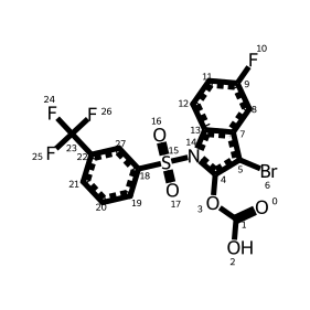 O=C(O)Oc1c(Br)c2cc(F)ccc2n1S(=O)(=O)c1cccc(C(F)(F)F)c1